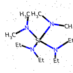 CCN(CC)[Si](N(C)C)(N(C)C)N(CC)CC